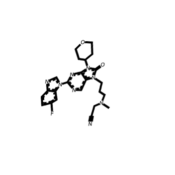 CN(CC#N)CCCn1c(=O)n(C2CCOCC2)c2nc(-n3cnc4ccc(F)cc43)ncc21